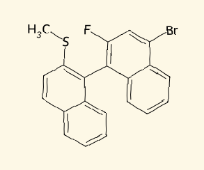 CSc1ccc2ccccc2c1-c1c(F)cc(Br)c2ccccc12